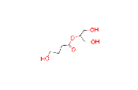 O=C(CCCO)OC(CO)CO